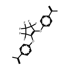 C=C(C)c1ccc(OC2=C(Oc3ccc(C(=C)C)cc3)C(F)(F)C(F)(F)C2(F)F)cc1